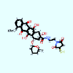 COc1cccc2c1C(=O)c1c(O)c3c(c(O)c1C2=O)C[C@@](O)(C(=O)NCCN1C(=O)CC(S)C1=O)C[C@@H]3O[C@H]1CCC[C@H](C)O1